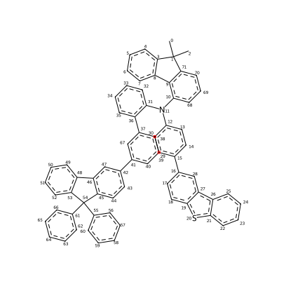 CC1(C)c2ccccc2-c2c(N(c3ccc(-c4ccc5sc6ccccc6c5c4)cc3)c3ccccc3-c3cccc(-c4ccc5c(c4)-c4ccccc4C5(c4ccccc4)c4ccccc4)c3)cccc21